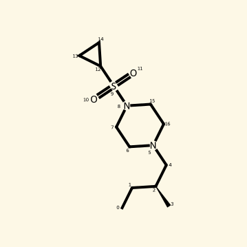 CC[C@H](C)CN1CCN(S(=O)(=O)C2CC2)CC1